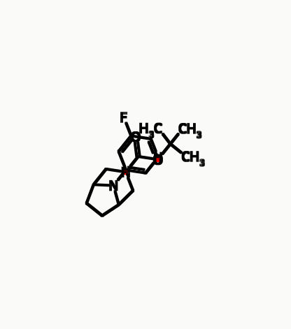 CC(C)(C)OC(=O)N1CC2CCC(C1)N2c1cncc(F)c1